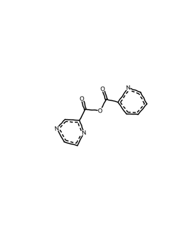 O=C(OC(=O)c1cnccn1)c1ccccn1